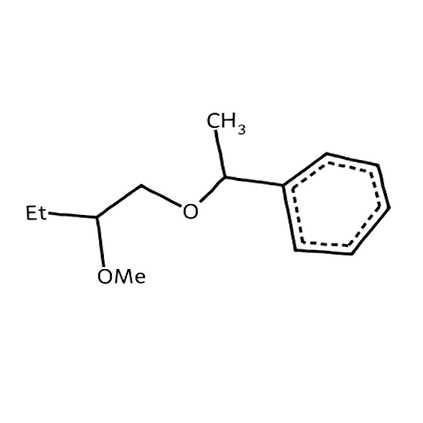 CCC(COC(C)c1ccccc1)OC